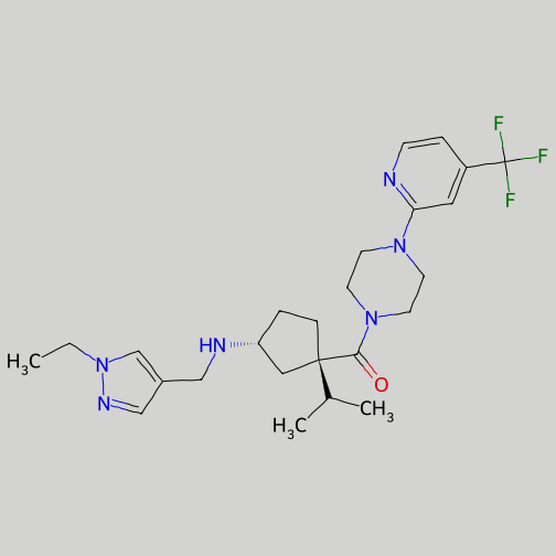 CCn1cc(CN[C@@H]2CC[C@@](C(=O)N3CCN(c4cc(C(F)(F)F)ccn4)CC3)(C(C)C)C2)cn1